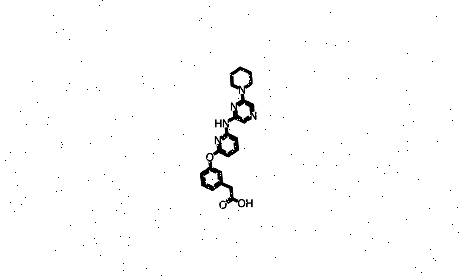 O=C(O)Cc1cccc(Oc2cccc(Nc3cncc(N4CCCCC4)n3)n2)c1